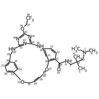 CN(C)CC(C)(C)CNC(=O)c1ccc2cc1OCC=CCOc1ccc(cc1)CNc1nc(nc(OCC(F)(F)F)n1)N2